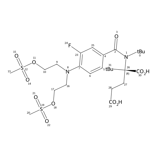 CC(C)(C)N(C(=O)c1ccc(N(CCOS(C)(=O)=O)CCOS(C)(=O)=O)c(F)c1)[C@@](CCC(=O)O)(C(=O)O)C(C)(C)C